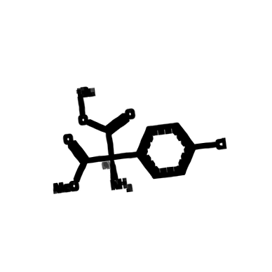 COC(=O)[C@](N)(C(=O)OC(C)(C)C)c1ccc(Cl)cc1